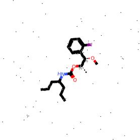 CCCC(CCC)NC(=O)O[C@@H](C)[C@@H](OC)c1ccccc1I